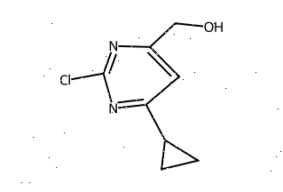 OCc1cc(C2CC2)nc(Cl)n1